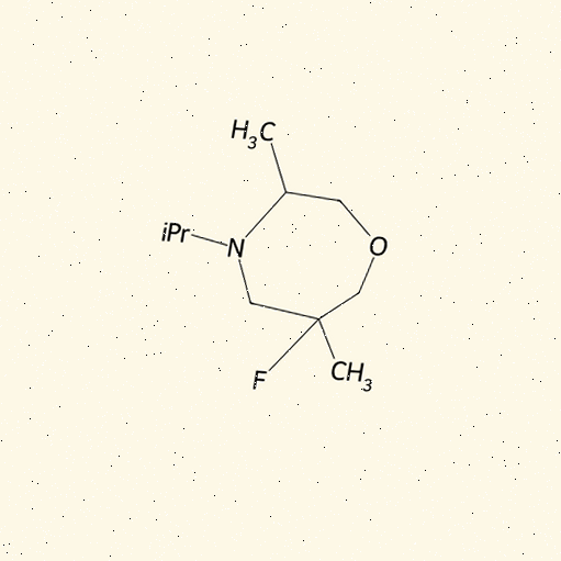 CC(C)N1CC(C)(F)COCC1C